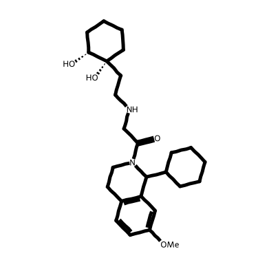 COc1ccc2c(c1)C(C1CCCCC1)N(C(=O)CNCC[C@]1(O)CCCC[C@H]1O)CC2